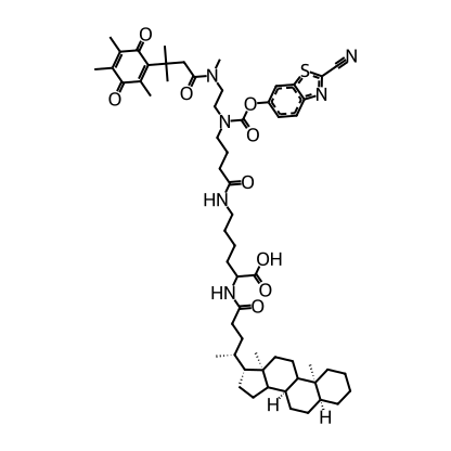 CC1=C(C)C(=O)C(C(C)(C)CC(=O)N(C)CCN(CCCC(=O)NCCCCC(NC(=O)CC[C@@H](C)[C@H]2CCC3[C@@H]4CC[C@@H]5CCCC[C@]5(C)C4CC[C@@]32C)C(=O)O)C(=O)Oc2ccc3nc(C#N)sc3c2)=C(C)C1=O